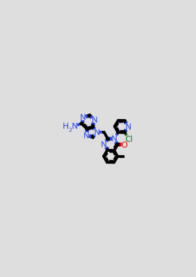 Cc1cccc2nc(Cn3cnc4c(N)ncnc43)n(-c3cccnc3Cl)c(=O)c12